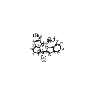 CC(C)(C)C1=Cc2ccccc2[CH]1[Hf+2](=[SiH2])[CH]1C(C(C)(C)C)=Cc2ccccc21.[Cl-].[Cl-]